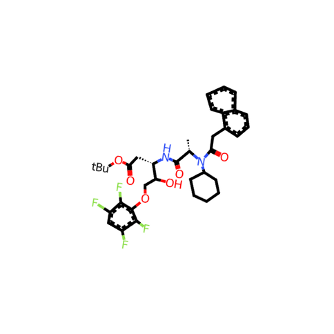 C[C@@H](C(=O)N[C@@H](CC(=O)OC(C)(C)C)C(O)COc1c(F)c(F)cc(F)c1F)N(C(=O)Cc1cccc2ccccc12)C1CCCCC1